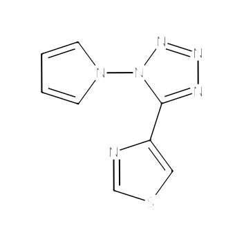 c1ccn(-n2nnnc2-c2cscn2)c1